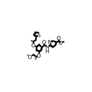 COC[C@H](C)Oc1cc(O[C@@H](C)Cc2cccs2)cc(C(=O)Nc2ccc(C(=O)OC)cn2)c1